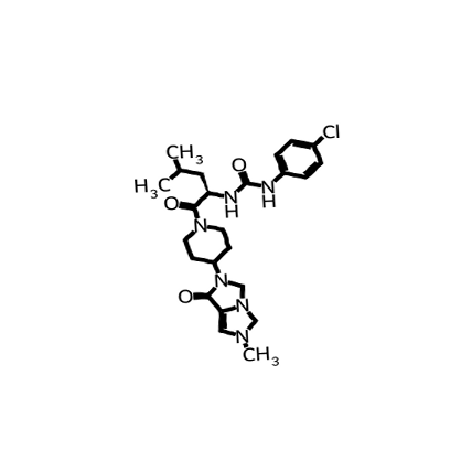 CC(C)C[C@@H](NC(=O)Nc1ccc(Cl)cc1)C(=O)N1CCC(N2CN3CN(C)C=C3C2=O)CC1